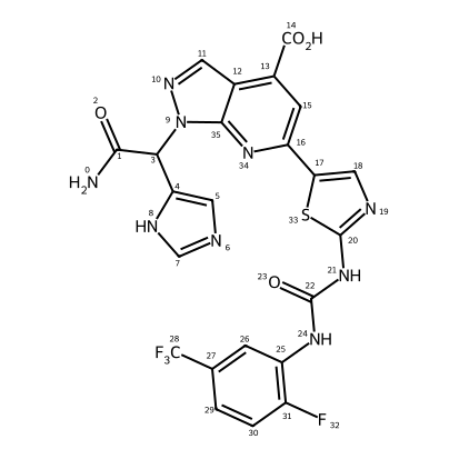 NC(=O)C(c1cnc[nH]1)n1ncc2c(C(=O)O)cc(-c3cnc(NC(=O)Nc4cc(C(F)(F)F)ccc4F)s3)nc21